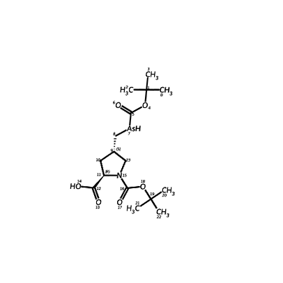 CC(C)(C)OC(=O)[AsH]C[C@H]1C[C@H](C(=O)O)N(C(=O)OC(C)(C)C)C1